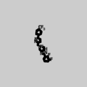 Fc1cccc(-c2nc3c([nH]2)C=NN(Cc2ccc(-c4ccc(C(F)(F)F)cc4)nn2)C3)c1F